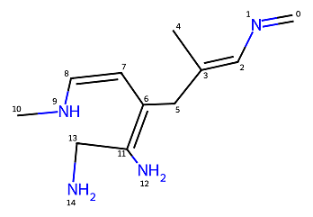 C=N/C=C(\C)CC(/C=C\NC)=C(\N)CN